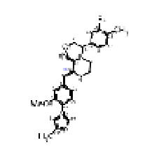 COc1cc(/C=C2\CCCN3C2=NOCC3c2ccc(C)c(F)c2)ccc1-n1cnc(C)c1